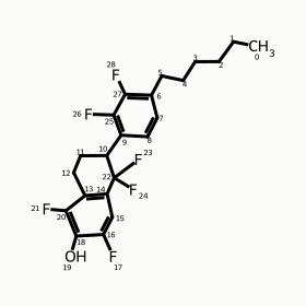 CCCCCCc1ccc(C2CCc3c(cc(F)c(O)c3F)C2(F)F)c(F)c1F